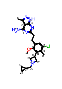 COc1c(CCc2nc(N)c3c(C)n[nH]c3n2)cc(Cl)c(C)c1C1CN(CC2CC2)C1